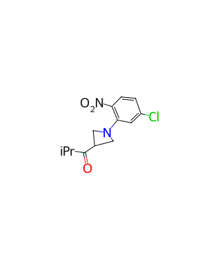 CC(C)C(=O)C1CN(c2cc(Cl)ccc2[N+](=O)[O-])C1